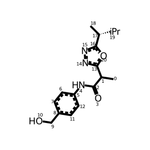 CC(C(=O)Nc1ccc(CO)cc1)c1nnc([C@H](C)C(C)C)o1